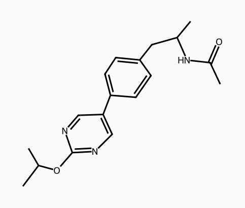 CC(=O)NC(C)Cc1ccc(-c2cnc(OC(C)C)nc2)cc1